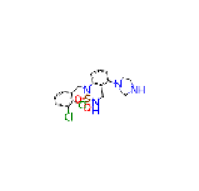 O=S1(=O)NCc2c(N3CCNCC3)cccc2N1Cc1cccc(Cl)c1Cl